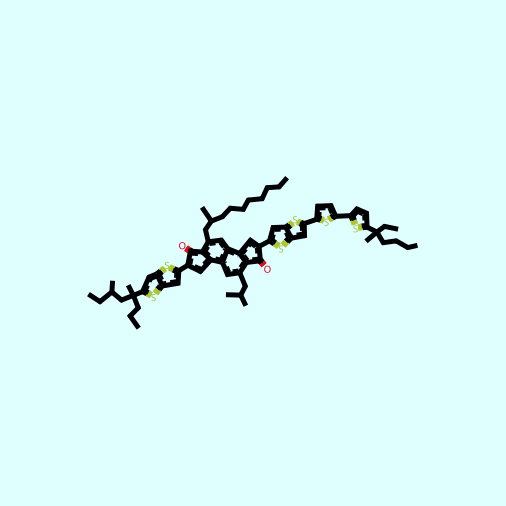 CCCCCCCCC(C)Cc1cc2c3cc(-c4cc5sc(-c6ccc(-c7ccc(C(C)(CC)CCCC)s7)s6)cc5s4)c(=O)c3c(CC(C)C)cc2c2cc(-c3cc4sc(C(C)(CCC)CC(C)CC)cc4s3)c(=O)c12